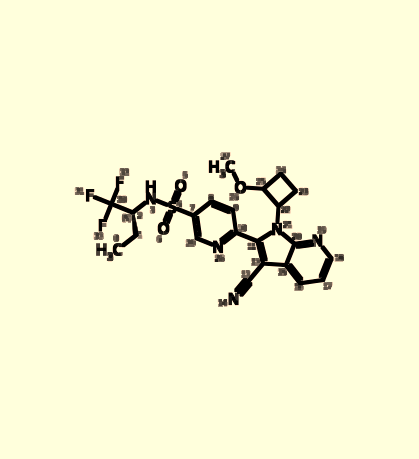 CC[C@H](NS(=O)(=O)c1ccc(-c2c(C#N)c3cccnc3n2C2CCC2OC)nc1)C(F)(F)F